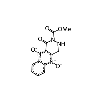 COC(=O)N1NCc2c([n+]([O-])c3ccccc3[n+]2[O-])C1=O